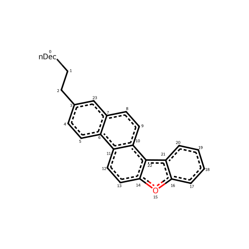 CCCCCCCCCCCCc1ccc2c(ccc3c2ccc2oc4ccccc4c23)c1